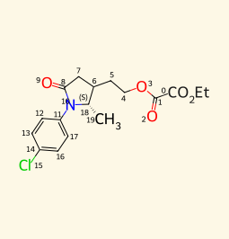 CCOC(=O)C(=O)OCCC1CC(=O)N(c2ccc(Cl)cc2)[C@H]1C